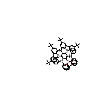 CC(C)(C)c1ccc2c(c1)-c1cc(C(C)(C)C)cc3c1B2c1c2c(c(N(c4ccccc4)c4ccccc4)c(-n4c5ccccc5c5ccccc54)c1N(c1ccccc1)c1ccccc1)B1c4ccc(C(C)(C)C)cc4-c4cc(C(C)(C)C)cc(c41)N32